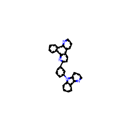 c1cc(-c2ccc3c4cccnc4c4ccccc4c3n2)cc(-n2c3ccccc3c3ncccc32)c1